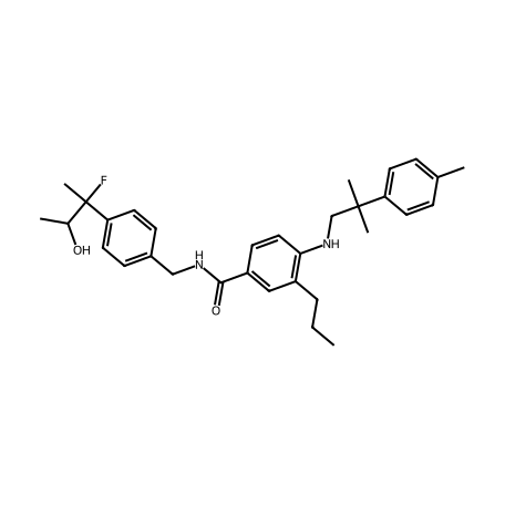 CCCc1cc(C(=O)NCc2ccc(C(C)(F)C(C)O)cc2)ccc1NCC(C)(C)c1ccc(C)cc1